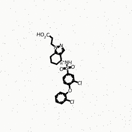 O=C(O)CCn1ncc2c1CCC[C@H]2NS(=O)(=O)c1ccc(Oc2ccccc2Cl)c(Cl)c1